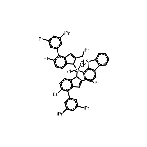 CCc1ccc2c(c1-c1cc(C(C)C)cc(C(C)C)c1)C=C(CC(C)C)[CH]2[Zr]([Cl])([Cl])([c]1cccc2c1[SiH2]c1ccccc1-2)[CH]1C(CC(C)C)=Cc2c1ccc(CC)c2-c1cc(C(C)C)cc(C(C)C)c1